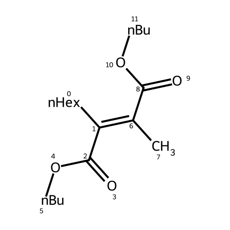 CCCCCCC(C(=O)OCCCC)=C(C)C(=O)OCCCC